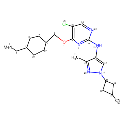 CNCC1CCC(COc2nc(Nc3cn(C4CC(C#N)C4)nc3C)ncc2Cl)CC1